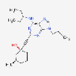 CCCn1cnc2c(NC(CC)CC)nc(C#C[C@]3(O)CCC[C@@H](C)C3)nc21